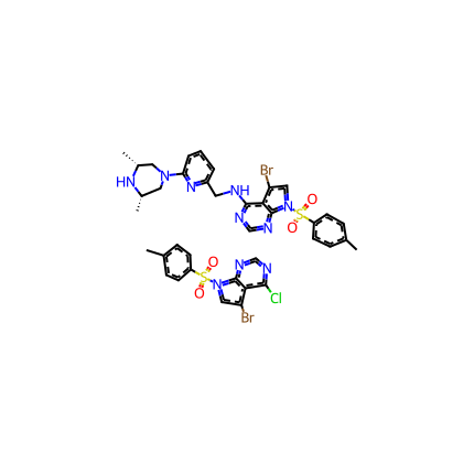 Cc1ccc(S(=O)(=O)n2cc(Br)c3c(Cl)ncnc32)cc1.Cc1ccc(S(=O)(=O)n2cc(Br)c3c(NCc4cccc(N5C[C@@H](C)N[C@@H](C)C5)n4)ncnc32)cc1